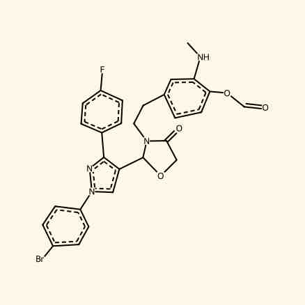 CNc1cc(CCN2C(=O)COC2c2cn(-c3ccc(Br)cc3)nc2-c2ccc(F)cc2)ccc1OC=O